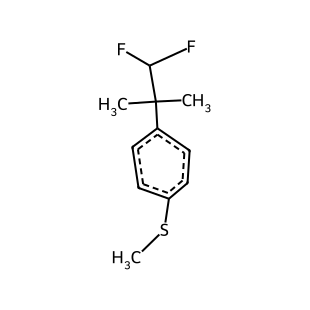 CSc1ccc(C(C)(C)C(F)F)cc1